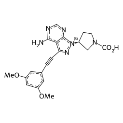 COc1cc(C#Cc2nn([C@H]3CCN(C(=O)O)C3)c3ncnc(N)c23)cc(OC)c1